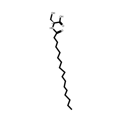 CCCCCCCCCCCCCCCCC(=O)N[C@@H](CO)C(=O)O